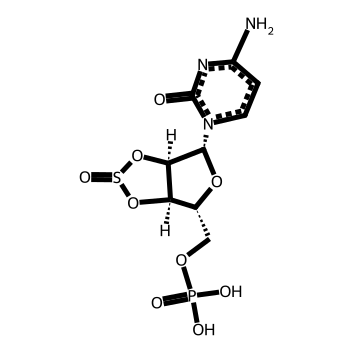 Nc1ccn([C@@H]2O[C@H](COP(=O)(O)O)[C@H]3OS(=O)O[C@H]32)c(=O)n1